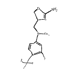 CN(CC1COC(N)=N1)c1ccc(C(F)(F)F)c(F)c1